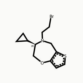 BrCCN1Cc2sccc2OC[C@H]1C1CC1